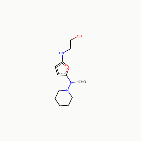 O=CN(c1ccc(NCCO)o1)N1CCCCC1